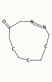 O=C1CCCCCCCN=NC1